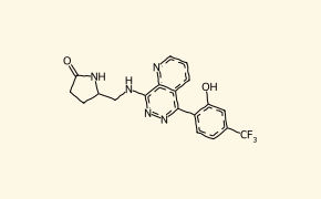 O=C1CCC(CNc2nnc(-c3ccc(C(F)(F)F)cc3O)c3cccnc23)N1